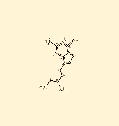 CC[C@@H](C)OCn1cnc2c(=O)[nH]c(N)nc21